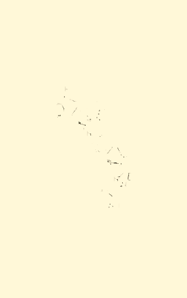 NC(=O)Cn1ccc(-c2ncc(F)c(OC3CN(C(=O)N4N=CCC4c4cc(F)cc(F)c4)C3)n2)n1